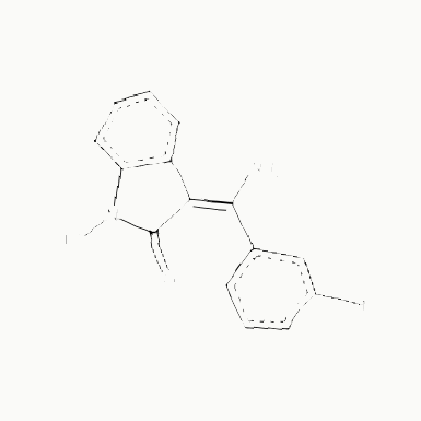 CN1C(=O)C(=C(N)c2cccc(I)c2)c2ccccc21